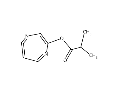 CC(C)C(=O)OC1=CN=C=CC=N1